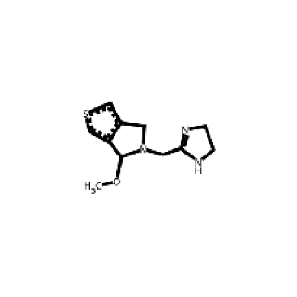 COC1c2cscc2CN1CC1=NCCN1